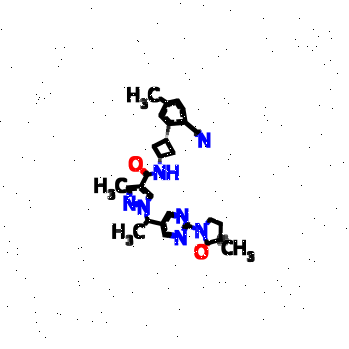 Cc1ccc(C#N)c([C@H]2C[C@@H](NC(=O)c3cn(C(C)c4cnc(N5CC[C@H](C)C5=O)nc4)nc3C)C2)c1